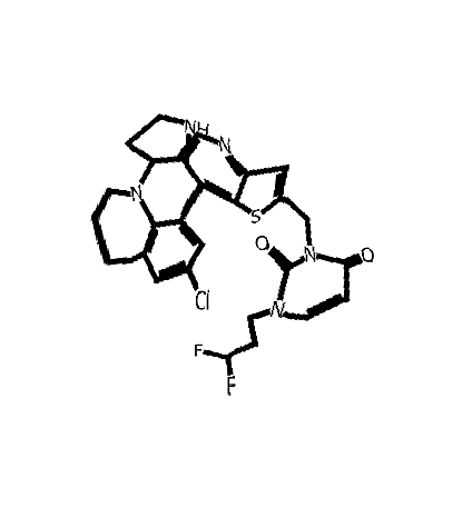 O=c1ccn(CCC(F)F)c(=O)n1Cc1cc2nccc(-c3cc(Cl)cc4c3N(C3CCNC3)CCC4)c2s1